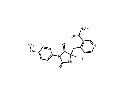 CNC(=O)c1cnccc1CC1(C)NC(=O)N(c2ccc(OC(F)(F)F)cc2)C1=O